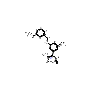 N#C/C(N)=C(/N=N)c1cc(OCc2cccc(OC(F)(F)F)c2)cc(C(F)(F)F)c1